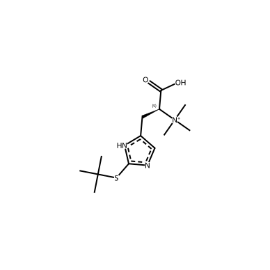 CC(C)(C)Sc1ncc(C[C@@H](C(=O)O)[N+](C)(C)C)[nH]1